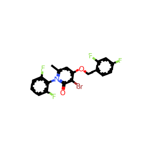 Cc1cc(OCc2ccc(F)cc2F)c(Br)c(=O)n1-c1c(F)cccc1F